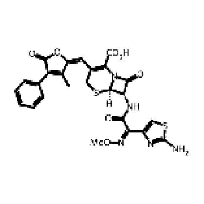 CO/N=C(\C(=O)N[C@@H]1C(=O)N2C(C(=O)O)=C(/C=C3/OC(=O)C(c4ccccc4)=C3C)CS[C@H]12)c1csc(N)n1